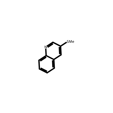 [CH2]Sc1cnc2ccccc2c1